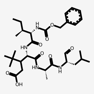 CC[C@H](C)[C@H](NC(=O)OCc1ccccc1)C(=O)N[C@H](C(=O)N[C@@H](C)C(=O)N[C@H](C=O)CC(C)C)C(CC(=O)O)C(C)(C)C